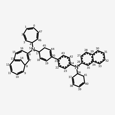 C1=CC=CC(N(C2=CC3C=CC=CC(=C3)C=C2)C2C=CC(c3ccc(N(c4ccc5ccccc5c4)C4C=CC=CC4)cc3)=CC2)C=C1